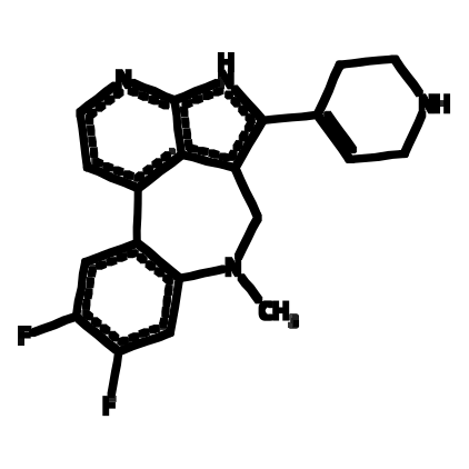 CN1Cc2c(C3=CCNCC3)[nH]c3nccc(c23)-c2cc(F)c(F)cc21